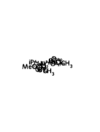 COC(=O)[C@H](CC(C)C)n1nc(CCOS(=O)(=O)c2ccc(C)cc2)cc(C)c1=O